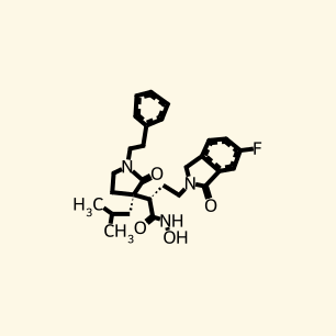 CC(C)C[C@]1([C@H](CCN2Cc3ccc(F)cc3C2=O)C(=O)NO)CCN(CCc2ccccc2)C1=O